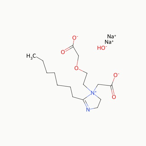 CCCCCCCC1=NCC[N+]1(CCOCC(=O)[O-])CC(=O)[O-].[Na+].[Na+].[OH-]